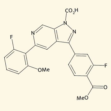 COC(=O)c1ccc(-c2nn(C(=O)O)c3cnc(-c4c(F)cccc4OC)cc23)cc1F